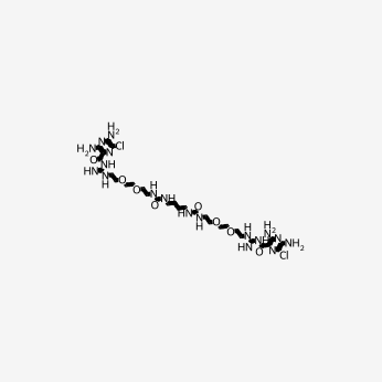 N=C(NCCOCCOCCNC(=O)NCCCCNC(=O)NCCOCCOCCNC(=N)NC(=O)c1nc(Cl)c(N)nc1N)NC(=O)c1nc(Cl)c(N)nc1N